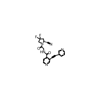 N#C[C@@H]1CC(F)(F)CN1C(=O)CNC(=O)c1ccncc1C#Cc1cccnc1